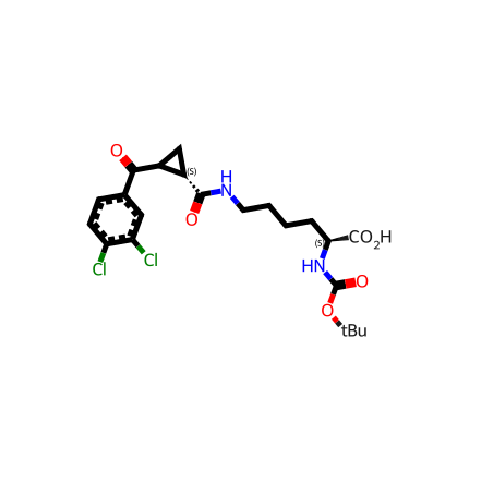 CC(C)(C)OC(=O)N[C@@H](CCCCNC(=O)[C@H]1CC1C(=O)c1ccc(Cl)c(Cl)c1)C(=O)O